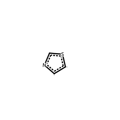 [c]1[c]scn1